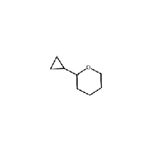 C1CC[C](C2CC2)OC1